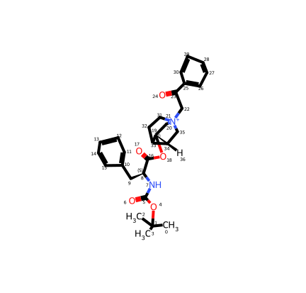 CC(C)(C)OC(=O)N[C@@H](Cc1ccccc1)C(=O)O[C@H]1C[N+]2(CC(=O)c3ccccc3)CCC1CC2